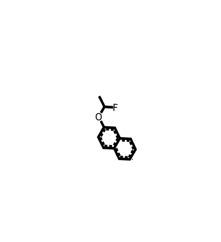 CC(F)Oc1ccc2c[c]ccc2c1